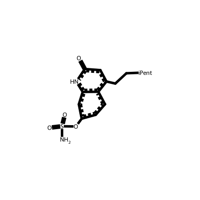 CCCC(C)CCc1cc(=O)[nH]c2cc(OS(N)(=O)=O)ccc12